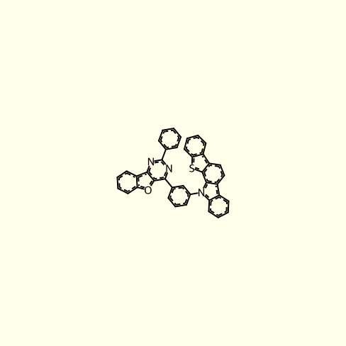 c1ccc(-c2nc(-c3cccc(-n4c5ccccc5c5ccc6c7ccccc7sc6c54)c3)c3oc4ccccc4c3n2)cc1